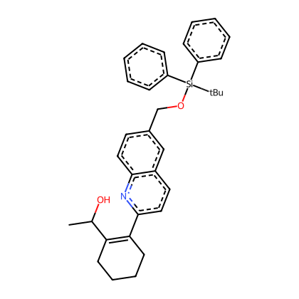 CC(O)C1=C(c2ccc3cc(CO[Si](c4ccccc4)(c4ccccc4)C(C)(C)C)ccc3n2)CCCC1